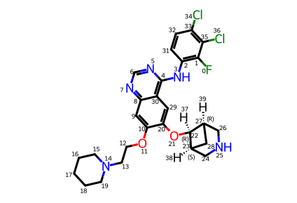 Fc1c(Nc2ncnc3cc(OCCN4CCCCC4)c(O[C@@H]4[C@@H]5CNC[C@H]4C5)cc23)ccc(Cl)c1Cl